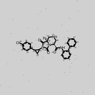 O=C(Nc1ccccc1-c1ccccc1)[C@@H]1CNC[C@H]2C(=O)N(C3CC3c3ccc(Cl)cc3)C(=O)N12